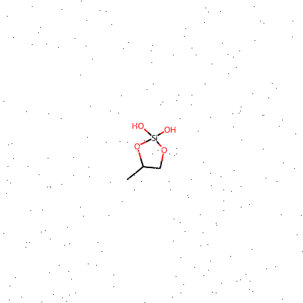 CC1CO[Si](O)(O)O1